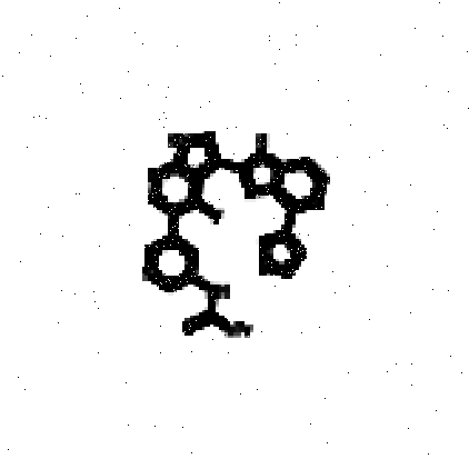 CCCC(=O)Nc1cncc(-c2cnc3[nH]nc(-c4nc5c(-c6ccsc6)nccc5[nH]4)c3c2F)c1